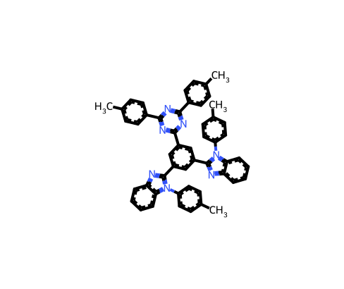 Cc1ccc(-c2nc(-c3ccc(C)cc3)nc(-c3cc(-c4nc5ccccc5n4-c4ccc(C)cc4)cc(-c4nc5ccccc5n4-c4ccc(C)cc4)c3)n2)cc1